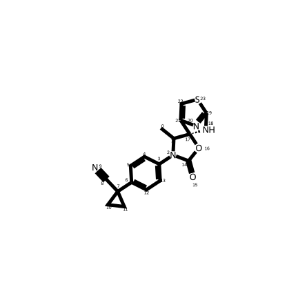 CC1N(c2ccc(C3(C#N)CC3)cc2)C(=O)O[C@@]12Nc1nc2cs1